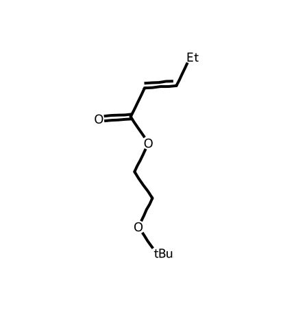 CCC=CC(=O)OCCOC(C)(C)C